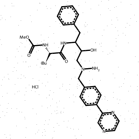 CC[C@H](C)[C@H](NC(=O)OC)C(=O)NC(Cc1ccccc1)C(O)CN(N)Cc1ccc(-c2cnccn2)cc1.Cl